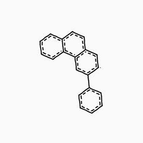 [c]1cc2ccc3ccccc3c2cc1-c1ccccc1